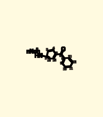 CCCCCCCCCNc1ccc(C(=O)c2ccccc2)cc1